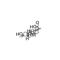 CC[C@@]1(O)CC[C@H]2[C@H](CC[C@@H]3[C@@H]2CC[C@]2(C)[C@@H]([C@H](C)[C@H](O)COC)CC[C@@H]32)C1